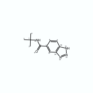 CC(C)(C)NC(=O)c1ccc2[nH]nnc2c1